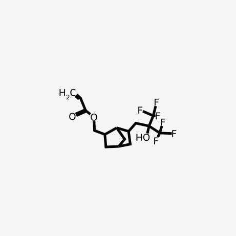 C=CC(=O)OCC1CC2CC(CC(O)(C(F)(F)F)C(F)(F)F)C1C2